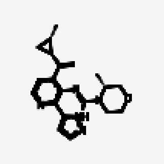 C=C(c1ccnc(-c2ccn[nH]2)c1/N=C(\C)N1CCOC[C@H]1C)[C@H]1C[C@@H]1C